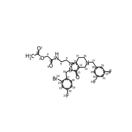 CC(=O)OCC(=O)NCCn1c2c(c(=O)n1Cc1ccc(F)cc1Br)CN(Cc1cc(F)cc(F)c1)CC2